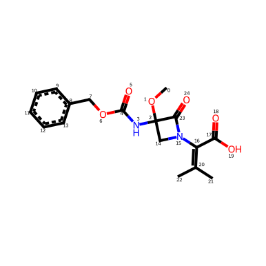 COC1(NC(=O)OCc2ccccc2)CN(C(C(=O)O)=C(C)C)C1=O